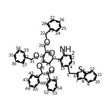 Nc1ccc(Cc2cc3ccccc3s2)cc1[C@@H]1O[C@H](COCc2ccccc2)[C@@H](OCc2ccccc2)[C@H](OCc2ccccc2)[C@H]1OCc1ccccc1